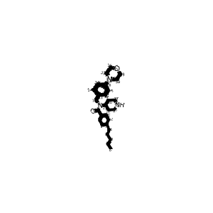 CCCCCc1ccc(C(=O)N(Cc2ccc(N3CCOCC3)cc2)C2CCNCC2)cc1